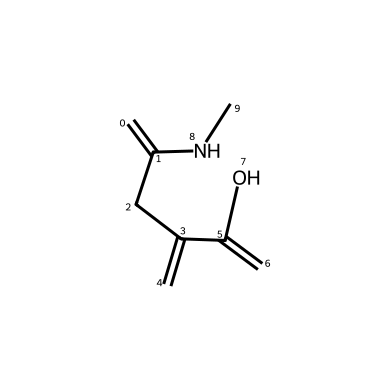 C=C(CC(=C)C(=C)O)NC